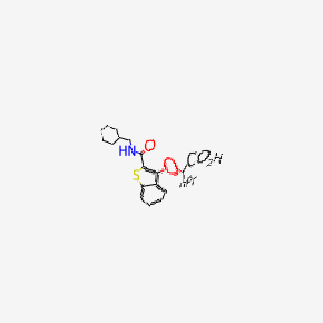 CCCC(Oc1c(C(=O)NCC2CCCCC2)sc2ccccc12)C(=O)O